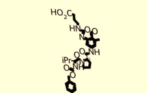 Cc1cc(NC(=O)[C@@H]2CCCN2C(=O)[C@@H](NC(=O)OCc2ccccc2)C(C)C)cc2nc(NCCCC(=O)O)oc(=O)c12